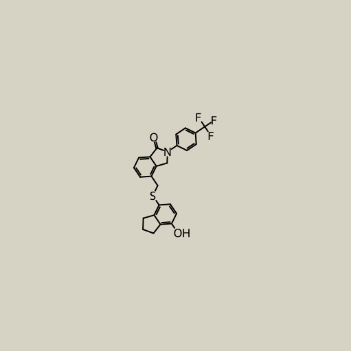 O=C1c2cccc(CSc3ccc(O)c4c3CCC4)c2CN1c1ccc(C(F)(F)F)cc1